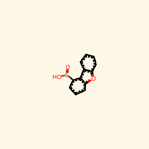 O=S(O)c1cccc2oc3ccccc3c12